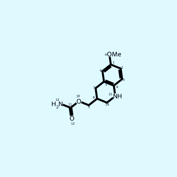 COc1ccc2c(c1)CC(COC(N)=O)CN2